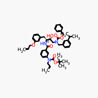 C=CCOc1cccc(C[C@H](NC(=O)c2cccc(N(CC=C)C(=O)OC(C)(C)C)c2)[C@@H](O)CN(Cc2cccc(C(C)C)c2)C(=O)OCc2ccccc2)c1